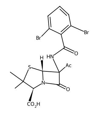 CC(=O)C1(NC(=O)c2c(Br)cccc2Br)C(=O)N2[C@@H](C(=O)O)C(C)(C)S[C@@H]21